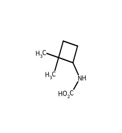 CC1(C)CCC1NC(=O)O